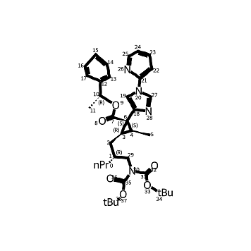 CCC[C@H](C[C@@H]1[C@H](C)[C@@]1(C(=O)O[C@H](C)c1ccccc1)c1cn(-c2ccccn2)cn1)CN(C(=O)OC(C)(C)C)C(=O)OC(C)(C)C